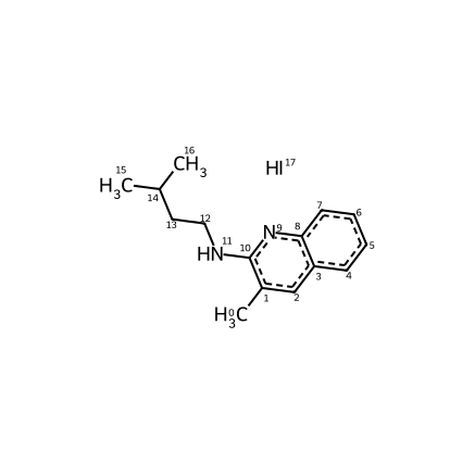 Cc1cc2ccccc2nc1NCCC(C)C.I